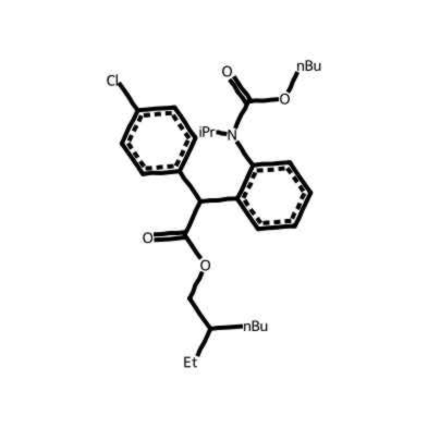 CCCCOC(=O)N(c1ccccc1C(C(=O)OCC(CC)CCCC)c1ccc(Cl)cc1)C(C)C